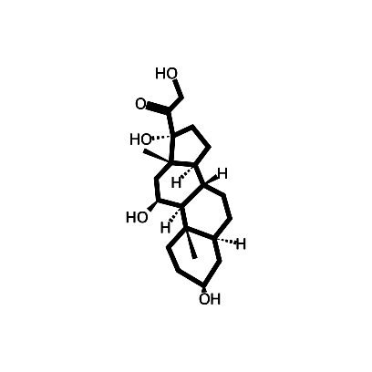 C[C@]12CC[C@H](O)C[C@@H]1CC[C@@H]1[C@@H]2[C@@H](O)C[C@@]2(C)[C@H]1CC[C@]2(O)C(=O)CO